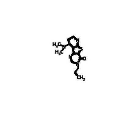 C=CCn1cnc2c(sc3nccc(N(C)C)c32)c1=O